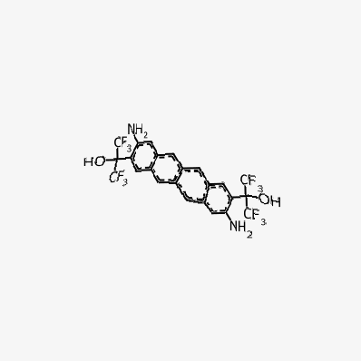 Nc1cc2cc3cc4cc(C(O)(C(F)(F)F)C(F)(F)F)c(N)cc4cc3cc2cc1C(O)(C(F)(F)F)C(F)(F)F